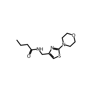 CCCC(=O)NCc1csc(N2CCOCC2)n1